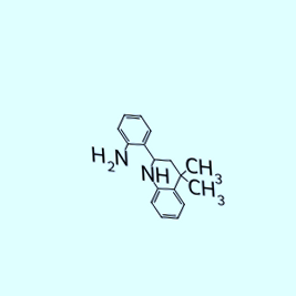 CC1(C)CC(c2ccccc2N)Nc2ccccc21